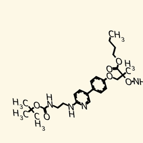 CCCCOC(=O)C(C)(COc1ccc(-c2ccc(NCCNC(=O)OC(C)(C)C)nc2)cc1)ON